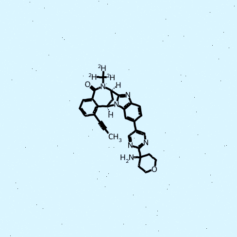 [2H]C([2H])([2H])N1C(=O)c2cccc(C#CC)c2[C@H]2C[C@@H]1c1nc3ccc(-c4cnc(C5(N)CCOCC5)nc4)cc3n12